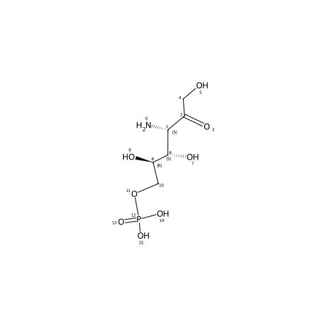 N[C@H](C(=O)CO)[C@H](O)[C@H](O)COP(=O)(O)O